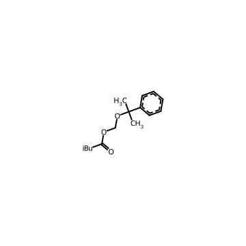 CCC(C)C(=O)OCOC(C)(C)c1ccccc1